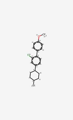 CCC1CCC(c2ccc(-c3ccc(OC(F)(F)F)cc3)c(F)c2)CC1